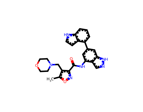 Cc1onc(C(=O)Nc2cc(-c3cccc4[nH]ccc34)cc3[nH]ncc23)c1CN1CCOCC1